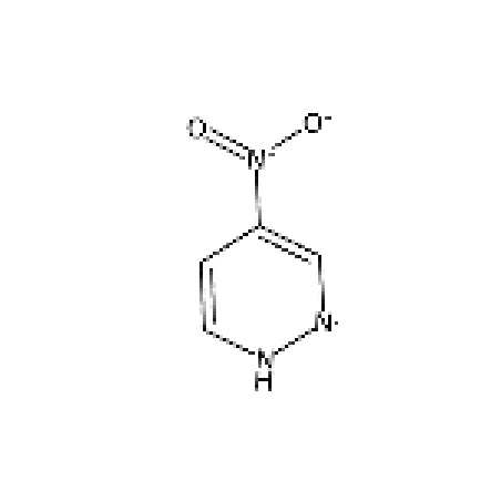 O=[N+]([O-])C1=C[N]NC=C1